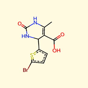 CC1=C(C(=O)O)C(c2ccc(Br)s2)NC(=O)N1